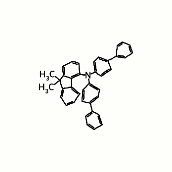 CC1(C)c2ccccc2-c2c(N(c3ccc(-c4ccccc4)cc3)c3ccc(-c4ccccc4)cc3)cccc21